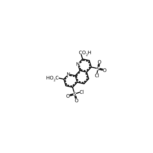 O=C(O)c1cc(S(=O)(=O)Cl)c2ccc3c(S(=O)(=O)Cl)cc(C(=O)O)nc3c2n1